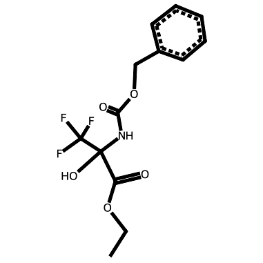 CCOC(=O)C(O)(NC(=O)OCc1ccccc1)C(F)(F)F